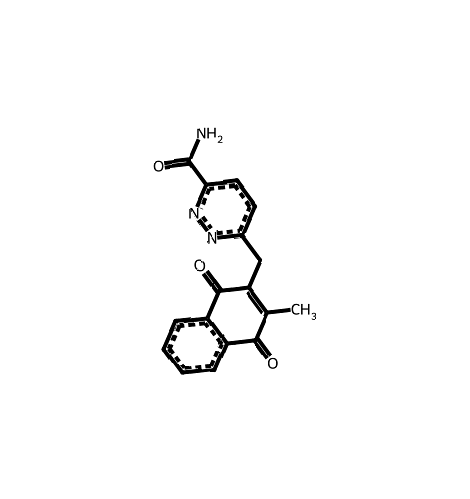 CC1=C(Cc2ccc(C(N)=O)nn2)C(=O)c2ccccc2C1=O